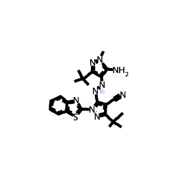 Cn1nc(C(C)(C)C)c(/N=N/c2c(C#N)c(C(C)(C)C)nn2-c2nc3ccccc3s2)c1N